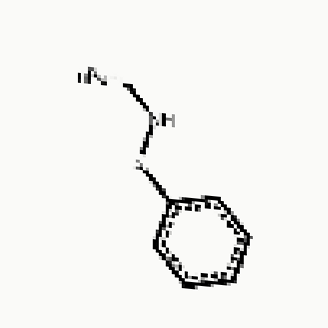 CCCCCNSc1ccccc1